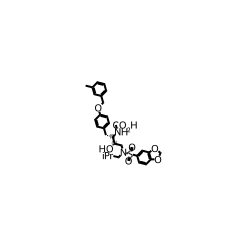 Cc1cccc(COc2ccc(C[C@H](NC(=O)O)[C@@H](O)CN(CC(C)C)S(=O)(=O)c3ccc4c(c3)OCO4)cc2)c1